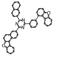 c1cc(-c2nc(-c3ccc4ccccc4c3)nc(-c3ccc4c(ccc5oc6ccccc6c54)c3)n2)cc(-c2cccc3oc4ccccc4c23)c1